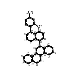 N#Cc1ccc2c(c1)Oc1ccc(-c3cc4c5ccccc5ccc4c4ccccc34)c3cccc-2c13